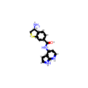 N[C@@H]1CSc2cc(C(=O)Nc3ccnc4[nH]ccc34)ccc21